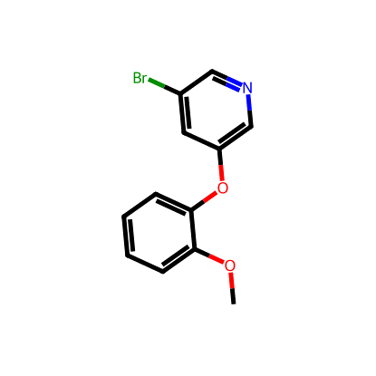 COc1ccccc1Oc1cncc(Br)c1